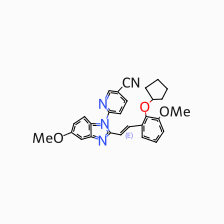 COc1ccc2c(c1)nc(/C=C/c1cccc(OC)c1OC1CCCC1)n2-c1ccc(C#N)cn1